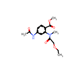 CCOCC(=O)N(C)c1cc(NC(C)=O)ccc1C(=O)OC